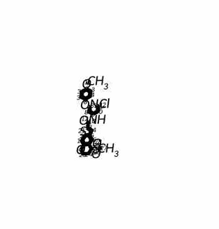 COc1ccc(Oc2cc(NC(=O)c3cc4cc5c(cc4s3)OCCC5S(C)(=O)=O)cc(Cl)n2)cc1